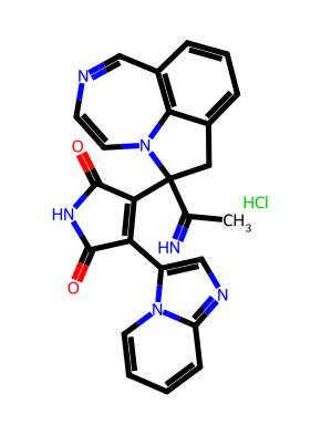 CC(=N)C1(C2=C(c3cnc4ccccn34)C(=O)NC2=O)Cc2cccc3c2N1C=CN=C3.Cl